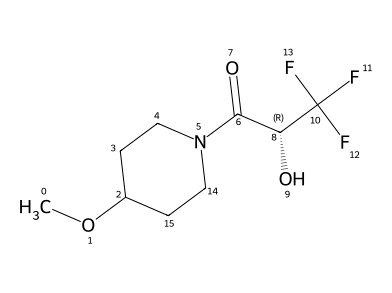 COC1CCN(C(=O)[C@@H](O)C(F)(F)F)CC1